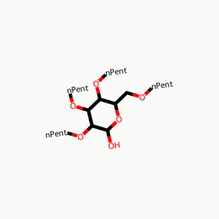 CCCCCOCC1OC(O)C(OCCCCC)C(OCCCCC)C1OCCCCC